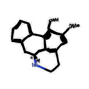 COc1cc2c3c(c1OC)-c1ccccc1C[C@H]3NCC2